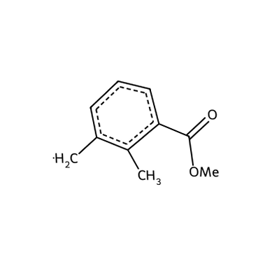 [CH2]c1cccc(C(=O)OC)c1C